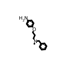 CN(CCCOc1ccc(N)cc1)Cc1ccccc1